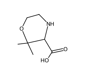 CC1(C)OCCNC1C(=O)O